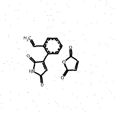 C=Cc1ccccc1C1=CC(=O)NC1=O.O=C1C=CC(=O)O1